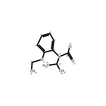 CCOc1ccccc1N(C(=O)Cl)C(C)C